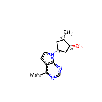 [CH2][C@H]1C[C@@H](n2ccc3c(NC)ncnc32)C[C@@H]1O